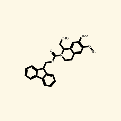 CCOc1cc2c(cc1OC)C(CC=O)N(C(=O)OCC1c3ccccc3-c3ccccc31)CC2